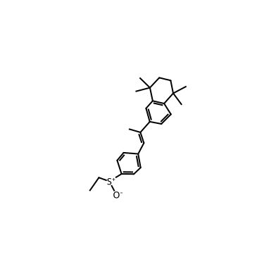 CC[S+]([O-])c1ccc(C=C(C)c2ccc3c(c2)C(C)(C)CCC3(C)C)cc1